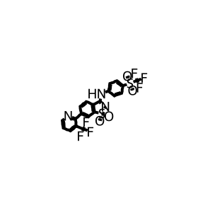 O=S1(=O)N=C(Nc2ccc(S(=O)(=O)C(F)(F)F)cc2)c2ccc(-c3ncccc3C(F)(F)F)cc21